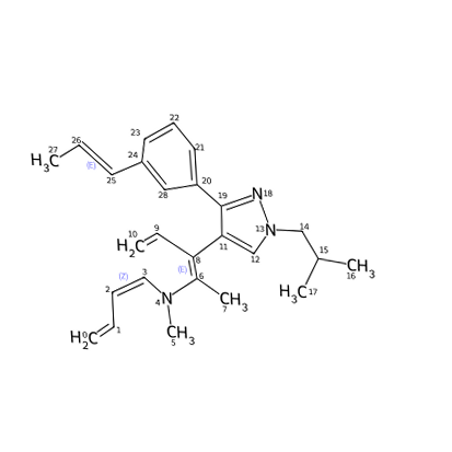 C=C/C=C\N(C)/C(C)=C(\C=C)c1cn(CC(C)C)nc1-c1cccc(/C=C/C)c1